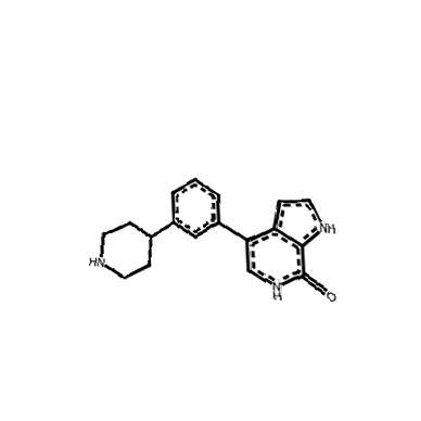 O=c1[nH]cc(-c2cccc(C3CCNCC3)c2)c2cc[nH]c12